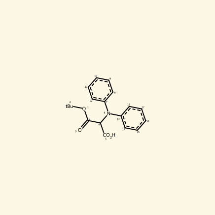 CC(C)(C)OC(=O)C(C(=O)O)N(c1ccccc1)c1ccccc1